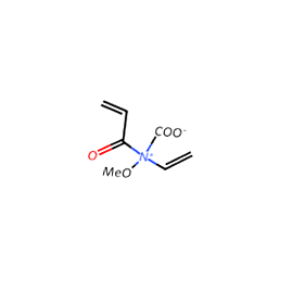 C=CC(=O)[N+](C=C)(OC)C(=O)[O-]